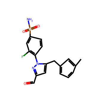 Cc1cccc(Cc2cc(C=O)nn2-c2ccc(S(N)(=O)=O)cc2F)c1